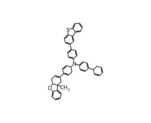 CC12CC(C3=CCC(N(c4ccc(-c5ccc6sc7ccccc7c6c5)cc4)c4ccc(C5C=CC=CC5)cc4)C=C3)=CCC1Oc1ccccc12